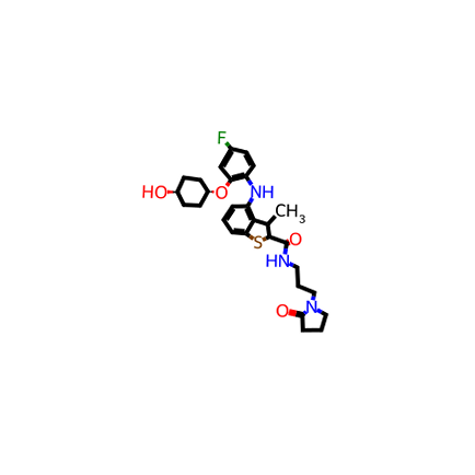 CC1c2c(Nc3ccc(F)cc3O[C@H]3CC[C@H](O)CC3)cccc2SC1C(=O)NCCCN1CCCC1=O